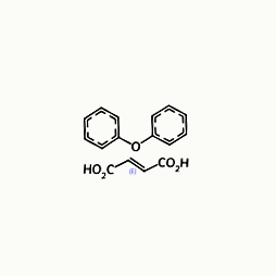 O=C(O)/C=C/C(=O)O.c1ccc(Oc2ccccc2)cc1